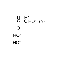 [Cr+6].[OH-].[OH-].[OH-].[OH-].[OH-].[OH-]